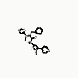 CN(c1cncs1)[C@@H](Cc1ccccc1)C(=O)Nc1cc(-c2ccncc2)n(C)n1